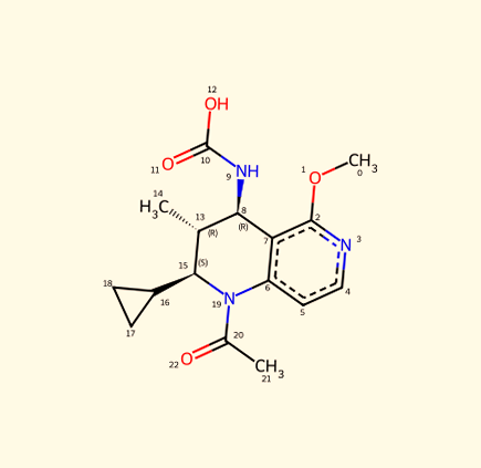 COc1nccc2c1[C@H](NC(=O)O)[C@@H](C)[C@H](C1CC1)N2C(C)=O